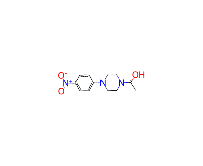 C[C](O)N1CCN(c2ccc([N+](=O)[O-])cc2)CC1